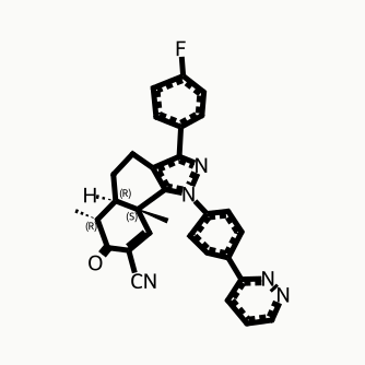 C[C@H]1C(=O)C(C#N)=C[C@@]2(C)c3c(c(-c4ccc(F)cc4)nn3-c3ccc(-c4cccnn4)cc3)CC[C@H]12